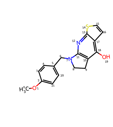 COc1ccc(CN2CCc3c2nc2sccc2c3O)cc1